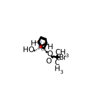 CC(C)(Br)C(=O)OC[C@@H]1[C@H](CO)[C@H]2C=C[C@@H]1C2